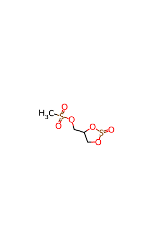 CS(=O)(=O)OCC1COS(=O)O1